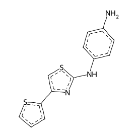 Nc1ccc(Nc2nc(-c3cccs3)cs2)cc1